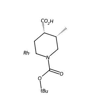 C[C@@H]1CN(C(=O)OC(C)(C)C)CC[C@@H]1C(=O)O.[Rh]